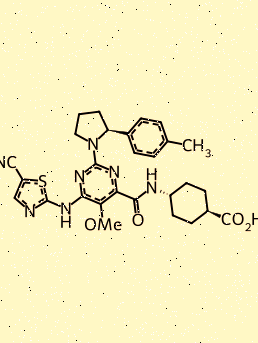 COc1c(Nc2ncc(C#N)s2)nc(N2CCC[C@H]2c2ccc(C)cc2)nc1C(=O)N[C@H]1CC[C@H](C(=O)O)CC1